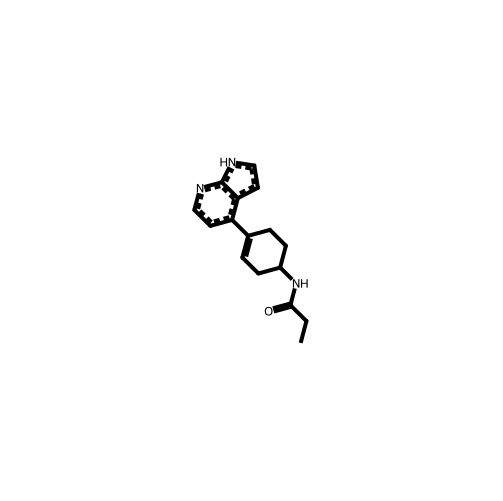 CCC(=O)NC1CC=C(c2ccnc3[nH]ccc23)CC1